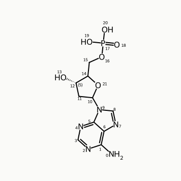 Nc1ncnc2c1ncn2C1C[C@H](O)C(COP(=O)(O)O)O1